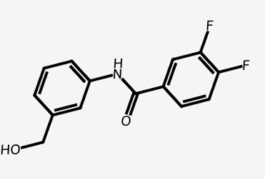 O=C(Nc1cccc(CO)c1)c1ccc(F)c(F)c1